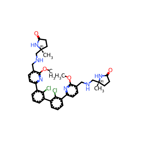 COc1nc(-c2cccc(-c3cccc(-c4ccc(CNC[C@@]5(C)CCC(=O)N5)c(OC)n4)c3Cl)c2Cl)ccc1CNC[C@@]1(C)CCC(=O)N1